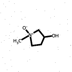 C[N+]1([O-])CCC(O)C1